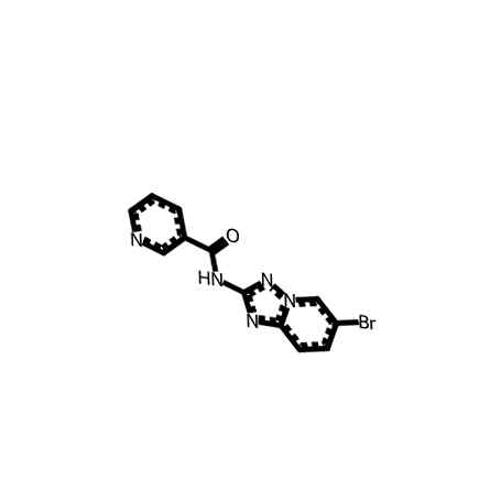 O=C(Nc1nc2ccc(Br)cn2n1)c1cccnc1